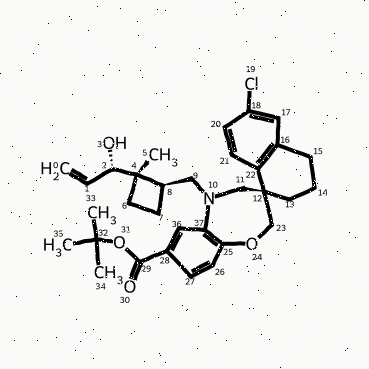 C=C[C@H](O)[C@@]1(C)CC[C@@H]1CN1C[C@@]2(CCCc3cc(Cl)ccc32)COc2ccc(C(=O)OC(C)(C)C)cc21